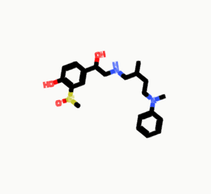 CC(CCN(C)c1ccccc1)CNCC(O)c1ccc(O)c([S+](C)[O-])c1